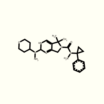 CC1(C)C2=CNC(N(N)C3CCOCC3)N=C2CN1C(=O)N(N)C1(c2ccccc2)CC1